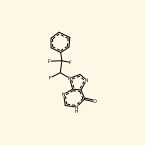 O=c1[nH]cnc2c1ncn2C(F)C(F)(F)c1ccccc1